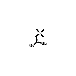 CC(C)(C)N(C[Si](C)(C)C)C(C)(C)C